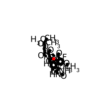 COc1ccc2c(c1F)C(=O)N(C[C@@]1(c3cc4cc([C@@]5(C)NC(=O)NC5=O)c(F)cc4o3)NC(=O)N(COC(=O)C(C)(C)C)C1=O)C2